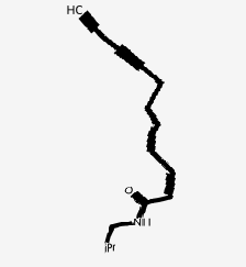 C#CC#CCC/C=C/C=C\C(=O)NCC(C)C